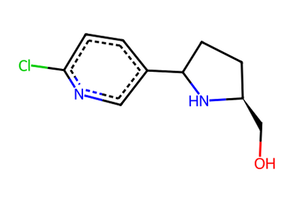 OC[C@@H]1CCC(c2ccc(Cl)nc2)N1